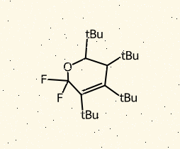 CC(C)(C)C1=C(C(C)(C)C)C(F)(F)OC(C(C)(C)C)C1C(C)(C)C